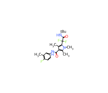 Cc1cc(NC(=O)c2c(C)c(C(F)(F)C(=O)NC(C)(C)C)n(C)c2C)ccc1F